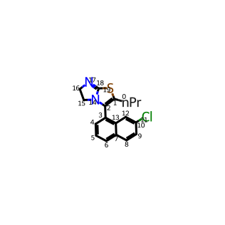 CCCC1=C(c2cccc3ccc(Cl)cc23)N2CCN=C2S1